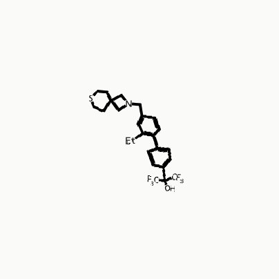 CCc1cc(CN2CC3(CCSCC3)C2)ccc1-c1ccc(C(O)(C(F)(F)F)C(F)(F)F)cc1